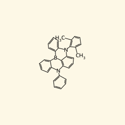 Cc1cccc(C)c1N1c2ccccc2B2c3ccccc3N(c3ccccc3)c3cccc1c32